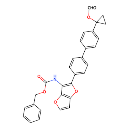 O=COC1(c2ccc(-c3ccc(-c4oc5ccoc5c4NC(=O)OCc4ccccc4)cc3)cc2)CC1